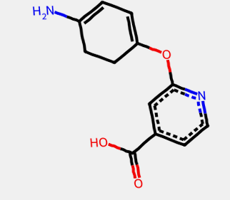 NC1=CC=C(Oc2cc(C(=O)O)ccn2)CC1